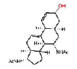 CC(=O)N[C@H]1C[C@@H]2C[C@@H](O)C=C[C@]2(C)C2=CC[C@]3(C)[C@@H](NC(C)=O)CC[C@H]3[C@@H]21